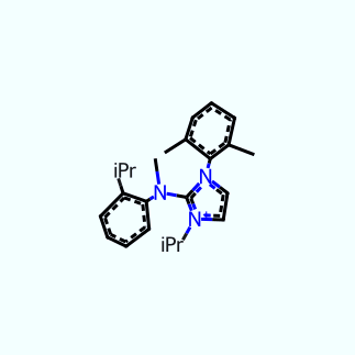 Cc1cccc(C)c1-n1cc[n+](C(C)C)c1N(C)c1ccccc1C(C)C